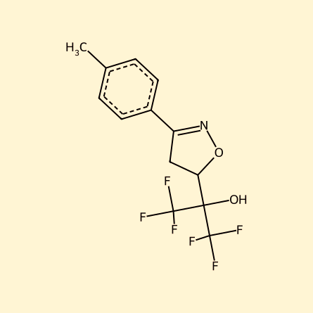 Cc1ccc(C2=NOC(C(O)(C(F)(F)F)C(F)(F)F)C2)cc1